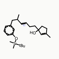 CC1=CC(O)(CC/C=C/C(C)Cc2cccc(O[Si](C)(C)C(C)(C)C)c2)CC1